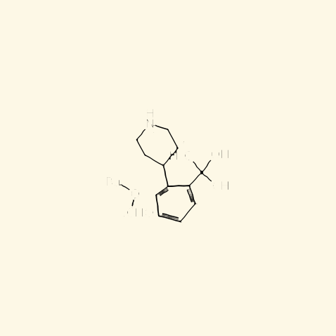 CC(C)(C)OC=O.CC(C)(O)c1ccccc1C1CCNCC1